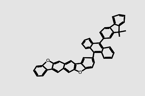 CC1(C)c2ccccc2-c2ccc(-c3c4ccccc4c(-c4ccc5oc6cc7cc8c(cc7cc6c5c4)oc4ccccc48)c4ccccc34)cc21